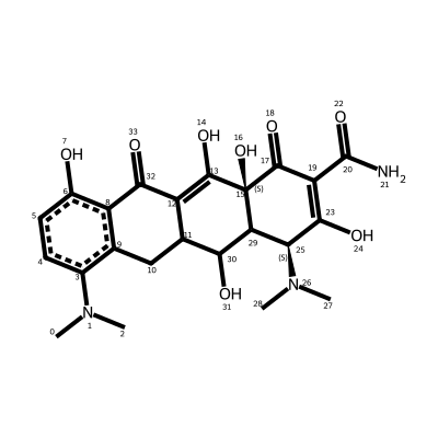 CN(C)c1ccc(O)c2c1CC1C(=C(O)[C@]3(O)C(=O)C(C(N)=O)=C(O)[C@@H](N(C)C)C3C1O)C2=O